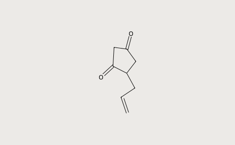 C=CCC1CC(=O)CC1=O